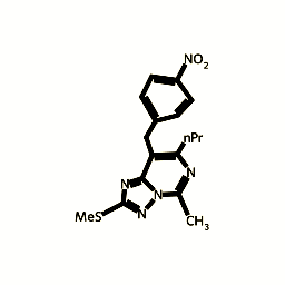 CCCc1nc(C)n2nc(SC)nc2c1Cc1ccc([N+](=O)[O-])cc1